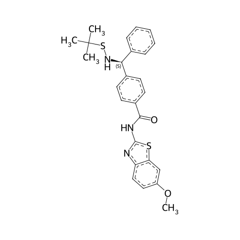 COc1ccc2nc(NC(=O)c3ccc([C@@H](NSC(C)(C)C)c4ccccc4)cc3)sc2c1